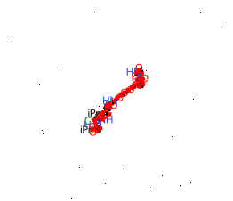 Cc1cc(Nc2ncc(Cl)c(Nc3ccccc3S(=O)(=O)C(C)C)n2)c(OC(C)C)cc1C1CCN(CC(=O)NCCOCCOCCOCCOc2cccc3c2C(=O)N(C2CCC(=O)NC2=O)C3=O)CC1